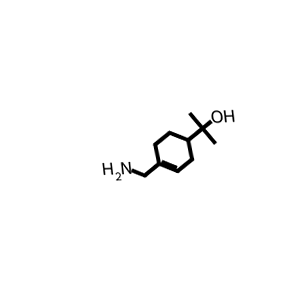 CC(C)(O)C1CC=C(CN)CC1